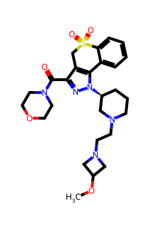 COC1CN(CCN2CCC[C@H](n3nc(C(=O)N4CCOCC4)c4c3-c3ccccc3S(=O)(=O)C4)C2)C1